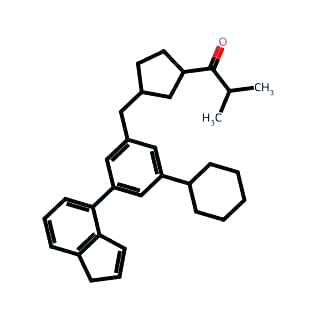 CC(C)C(=O)C1CCC(Cc2cc(-c3cccc4c3C=CC4)cc(C3CCCCC3)c2)C1